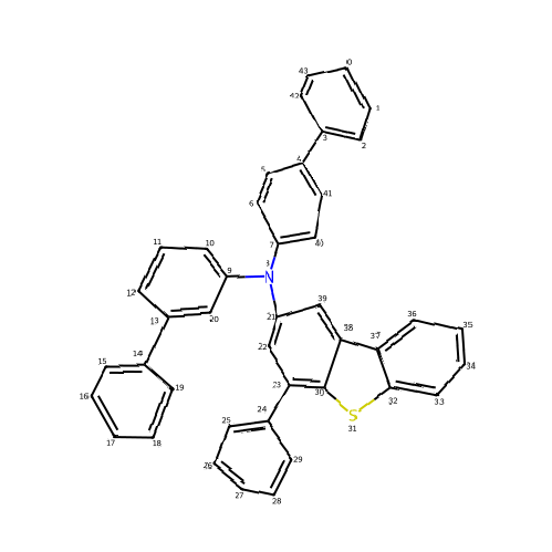 c1ccc(-c2ccc(N(c3cccc(-c4ccccc4)c3)c3cc(-c4ccccc4)c4sc5ccccc5c4c3)cc2)cc1